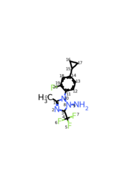 CC1=NC(C(F)(F)F)N(N)N1c1ccc(C2CC2)cc1F